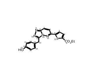 CCOC(=O)c1ccc(-c2ccc3nnc(Cc4ccc(O)cc4)n3n2)s1